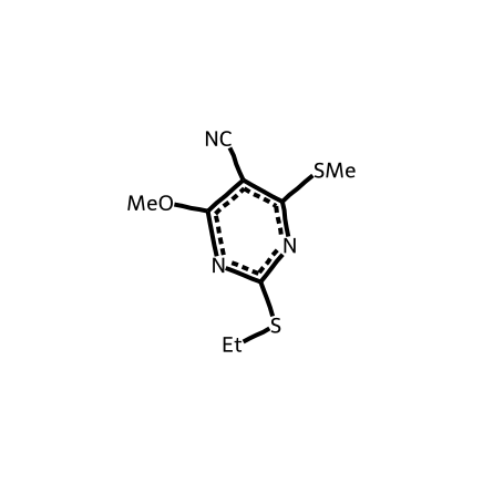 CCSc1nc(OC)c(C#N)c(SC)n1